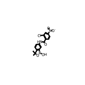 CC1(C)OB(O)c2cc(NC(=O)c3ccc([N+](=O)[O-])cc3Cl)ccc21